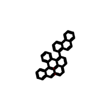 c1ccc(-c2c(-c3cccc4c3ccc3ccccc34)ccc3ccccc23)c(-c2cccc3ccccc23)c1